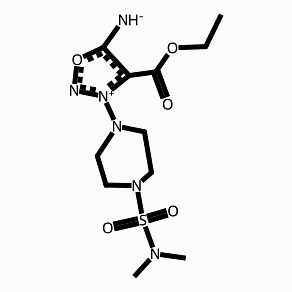 CCOC(=O)c1c([NH-])on[n+]1N1CCN(S(=O)(=O)N(C)C)CC1